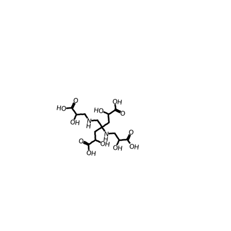 O=C(O)C(O)CNCC(CC(O)C(=O)O)(CC(O)C(=O)O)NCC(O)C(=O)O